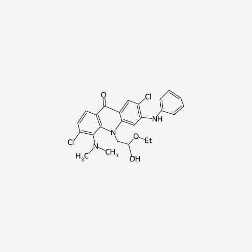 CCOC(O)Cn1c2cc(Nc3ccccc3)c(Cl)cc2c(=O)c2ccc(Cl)c(N(C)C)c21